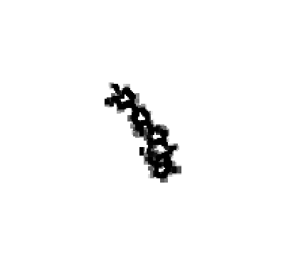 CN(c1cnc(-c2ccc(-c3ccn(C)c(=O)c3)cc2O)nn1)[C@H]1C[C@@H]2CC[C@@H](N2)[C@H]1C(F)(F)F